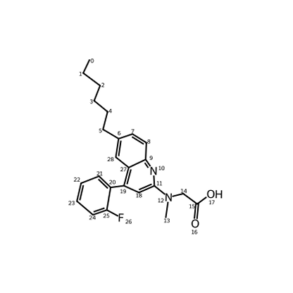 CCCCCCc1ccc2nc(N(C)CC(=O)O)cc(-c3ccccc3F)c2c1